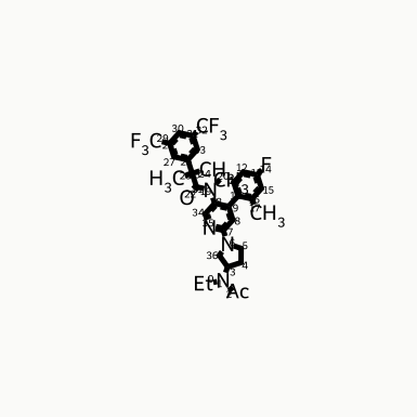 CCN(C(C)=O)C1CCN(c2cc(-c3ccc(F)cc3C)c(N(C)C(=O)C(C)(C)c3cc(C(F)(F)F)cc(C(F)(F)F)c3)cn2)C1